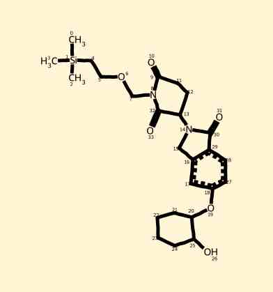 C[Si](C)(C)CCOCN1C(=O)CCC(N2Cc3cc(OC4CCCCC4O)ccc3C2=O)C1=O